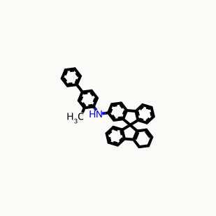 Cc1cc(-c2ccccc2)ccc1Nc1ccc2c(c1)C1(C3=C(CCC=C3)c3ccccc31)c1ccccc1-2